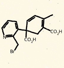 CC1=C(C(=O)O)CC(C(=O)O)(c2cccnc2CBr)C=C1